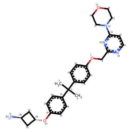 CC(C)(c1ccc(OCc2nccc(N3CCOCC3)n2)cc1)c1ccc(O[C@H]2C[C@H](N)C2)cc1